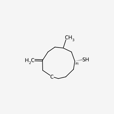 C=C1CCCCC[C@@H](S)CC(C)CC1